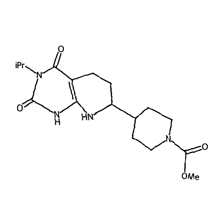 COC(=O)N1CCC(C2CCc3c([nH]c(=O)n(C(C)C)c3=O)N2)CC1